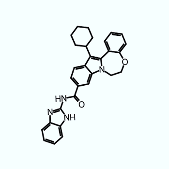 O=C(Nc1nc2ccccc2[nH]1)c1ccc2c(C3CCCCC3)c3n(c2c1)CCOc1ccccc1-3